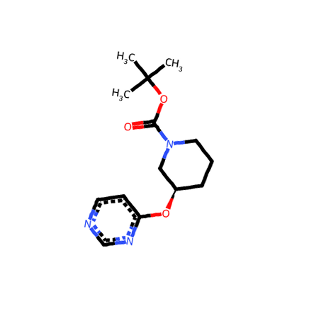 CC(C)(C)OC(=O)N1CCC[C@@H](Oc2ccncn2)C1